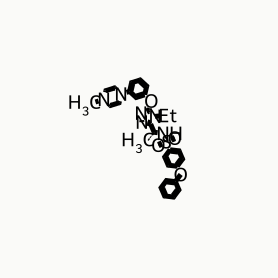 CCn1c(Oc2cccc(N3CCN(C)CC3)c2)nnc1[C@@H](C)NS(=O)(=O)c1ccc(Oc2ccccc2)cc1